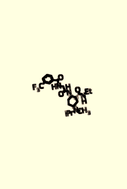 CCNC(=O)[C@@H]1C[C@H](N(C)C(C)C)CC[C@@H]1NC(=O)CNC(=O)c1cccc(C(F)(F)F)c1